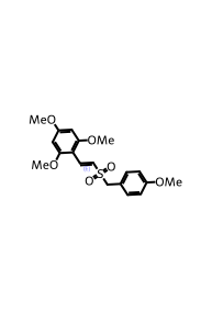 COc1ccc(CS(=O)(=O)/C=C/c2c(OC)cc(OC)cc2OC)cc1